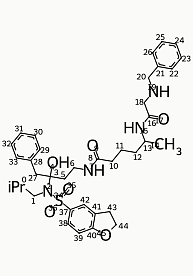 CC(C)CN(C(O)(CCNC(=O)CCCC(C)NC(=O)CNCc1ccccc1)Cc1ccccc1)S(=O)(=O)c1ccc2c(c1)CCO2